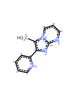 O=C(O)c1c(-c2ccccn2)nc2ncccn12